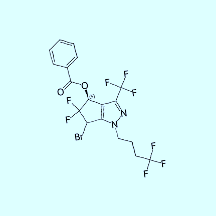 O=C(O[C@H]1c2c(C(F)(F)F)nn(CCCC(F)(F)F)c2C(Br)C1(F)F)c1ccccc1